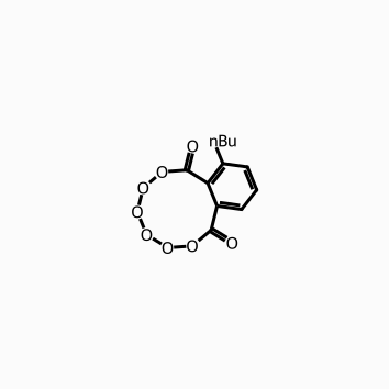 CCCCc1cccc2c(=O)ooooooc(=O)c12